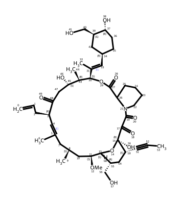 C=CC[C@@H]1/C=C(\C)C[C@H](C)C[C@H](OC)[C@H]2O[C@@](O)(C(=O)C(=O)N3CCCCC3C(=O)O[C@H](/C(C)=C/[C@@H]3CC[C@@H](O)[C@H](CO)C3)[C@H](C)[C@@H](O)CC1=O)[C@H](C#CC)C[C@@H]2CO